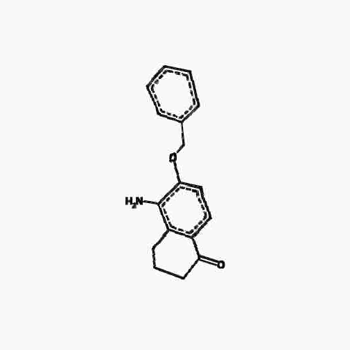 Nc1c(OCc2ccccc2)ccc2c1CCCC2=O